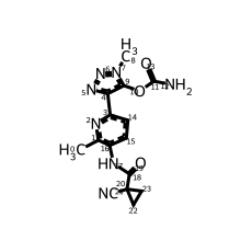 Cc1nc(-c2nnn(C)c2OC(N)=O)ccc1NC(=O)C1(C#N)CC1